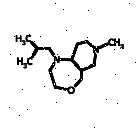 CC(C)CN1CCOCC2CN(C)CCC21